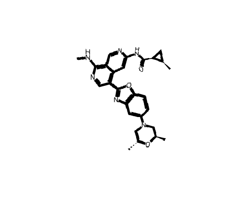 CNc1ncc(-c2nc3cc(N4C[C@@H](C)O[C@H](C)C4)ccc3o2)c2cc(NC(=O)[C@H]3C[C@H]3C)ncc12